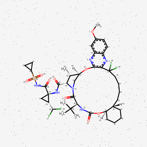 COc1ccc2nc3c(nc2c1)O[C@H]1CN(C(=O)[C@H](C(C)(C)C)NC(=O)O[C@@H]2CCCC[C@H]2CCCCC3(F)F)[C@H](C(=O)N[C@]2(C(=O)NS(=O)(=O)C3CC3)C[C@H]2C(F)F)[C@@H]1C